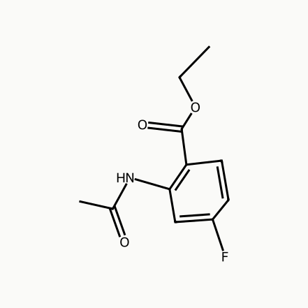 CCOC(=O)c1ccc(F)cc1NC(C)=O